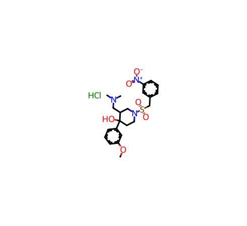 COc1cccc(C2(O)CCN(S(=O)(=O)Cc3cccc([N+](=O)[O-])c3)CC2CN(C)C)c1.Cl